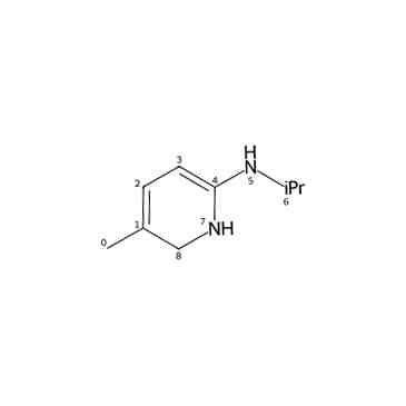 CC1=CC=C(NC(C)C)NC1